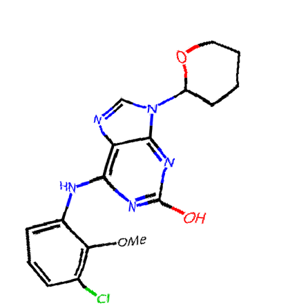 COc1c(Cl)cccc1Nc1nc(O)nc2c1ncn2C1CCCCO1